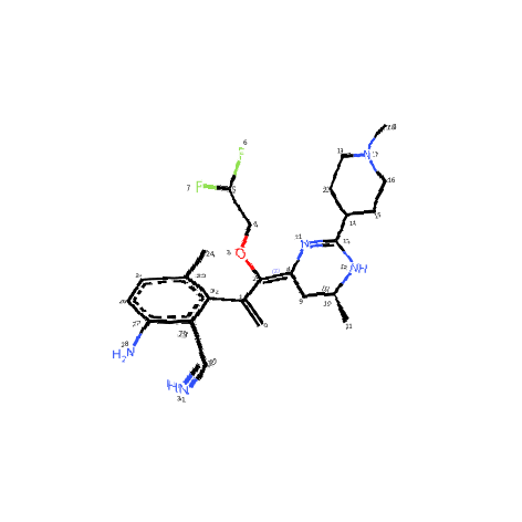 C=C(/C(OCC(F)F)=C1\C[C@H](C)NC(C2CCN(C)CC2)=N1)c1c(C)ccc(N)c1C=N